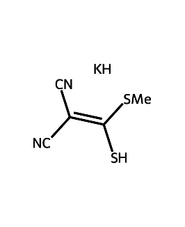 CSC(S)=C(C#N)C#N.[KH]